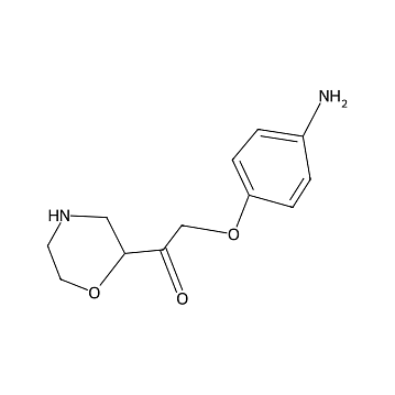 Nc1ccc(OCC(=O)C2CNCCO2)cc1